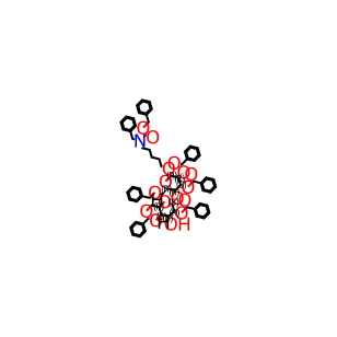 O=C(O[C@@H]1[C@@H](OC(=O)c2ccccc2)[C@H](OCCCCCN(Cc2ccccc2)C(=O)OCc2ccccc2)O[C@H](COCc2ccccc2)[C@H]1O[C@@H]1O[C@@H]2COC(c3ccccc3)O[C@H]2[C@H](O)[C@H]1OC(=O)c1ccccc1)c1ccccc1